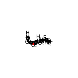 Cn1c(-c2ccc(OC(F)F)cc2F)cnc1C(=O)Nc1ccc(C(=O)N2CCN(C(=O)C3CCNCC3)CC2)c(Cl)c1